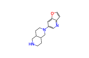 c1cc2ncc(N3CCC4CNCCC4C3)cc2o1